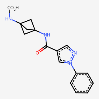 O=C(O)NC12CC(NC(=O)c3cnn(-c4ccccc4)c3)(C1)C2